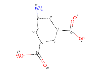 NC1CC(C(=O)O)CC(C(=O)O)C1